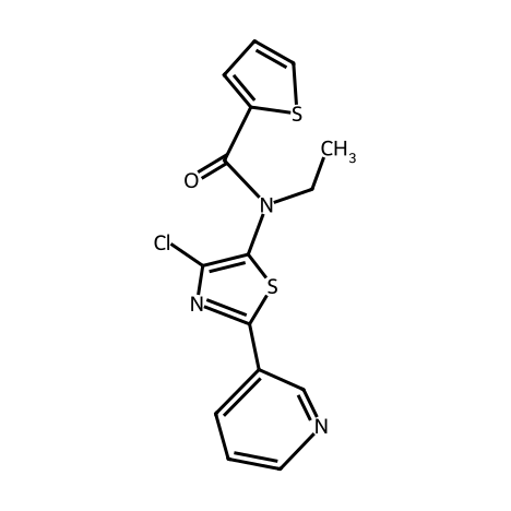 CCN(C(=O)c1cccs1)c1sc(-c2cccnc2)nc1Cl